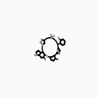 O=S1(=O)CCc2cn(nn2)Cc2c(c(F)cc3[nH]ccc23)Oc2ccc(F)c(c2)-c2ncc([nH]2)C(c2ccccc2F)CC1